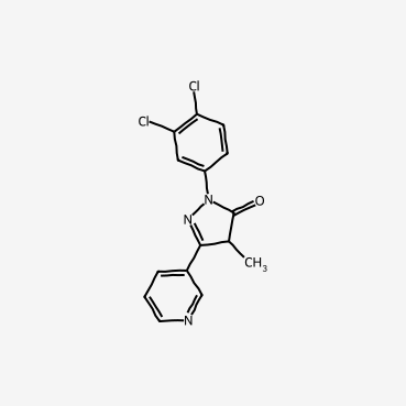 CC1C(=O)N(c2ccc(Cl)c(Cl)c2)N=C1c1cccnc1